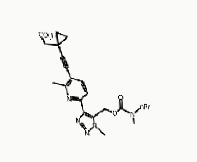 CCCN(C)C(=O)OCc1c(-c2ccc(C#CC3(CC(=O)O)CC3)c(C)n2)nnn1C